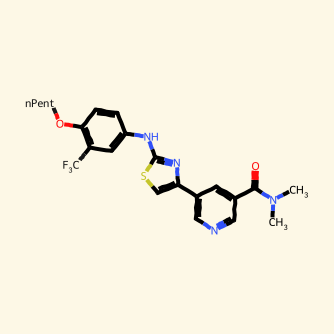 CCCCCOc1ccc(Nc2nc(-c3cncc(C(=O)N(C)C)c3)cs2)cc1C(F)(F)F